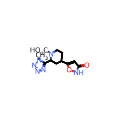 Cn1nnnc1C1CC(c2cc(=O)[nH]o2)CCN1C(=O)O